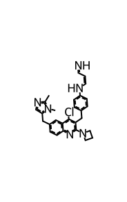 Cc1ncc(Cc2ccc3nc(N4CCC4)c(Cc4ccc(N/C=C\C=N)cc4)c(Cl)c3c2)n1C